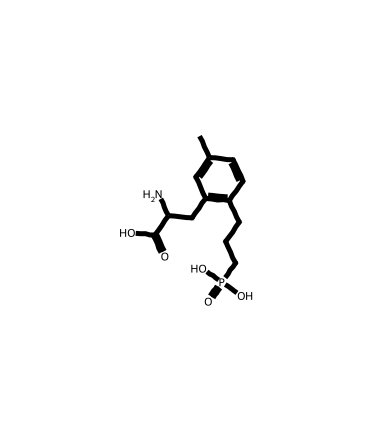 Cc1ccc(CCCP(=O)(O)O)c(CC(N)C(=O)O)c1